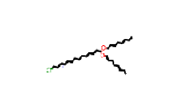 CCCCCCCCOC(CCCCCCCCC/C=C/CCCl)OCCCCCCCC